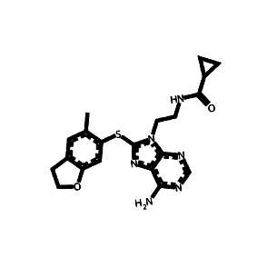 Cc1cc2c(cc1Sc1nc3c(N)ncnc3n1CCNC(=O)C1CC1)OCC2